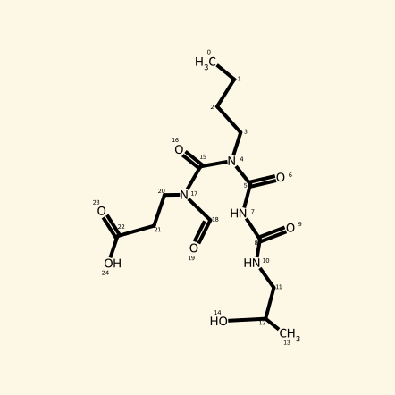 CCCCN(C(=O)NC(=O)NCC(C)O)C(=O)N(C=O)CCC(=O)O